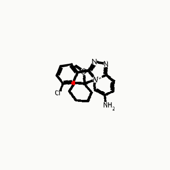 COC1([N+]23C=C(N)C=CC2=NN=C3c2cccc(Cl)c2)CCCCC1